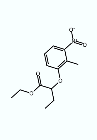 CCOC(=O)C(CC)Oc1cccc([N+](=O)[O-])c1C